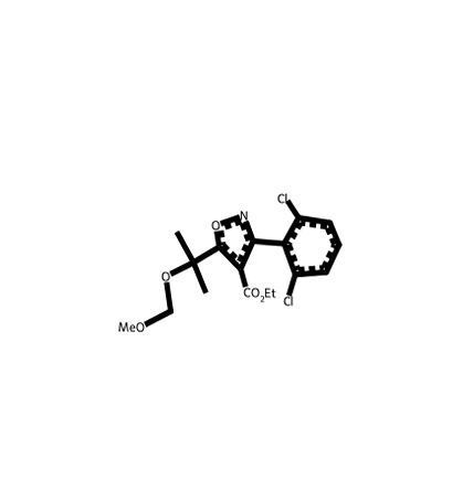 CCOC(=O)c1c(-c2c(Cl)cccc2Cl)noc1C(C)(C)OCOC